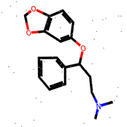 CN(C)CCC(Oc1ccc2c(c1)OCO2)c1ccccc1